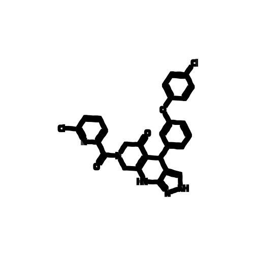 O=C1CN(C(=O)c2cccc(Cl)n2)CC2=C1C(c1cccc(Oc3ccc(Cl)cc3)c1)c1c[nH]nc1N2